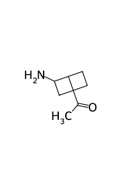 CC(=O)C12CCC1C(N)C2